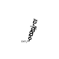 CCOC(=O)CC1CC=C(C2=CCC3(C)C(CCC4(C)C5CCC6(NCCN7CCS(=O)(=O)CC7)CCC[C@@H]6C5CCC43)C2(C)C)CC1